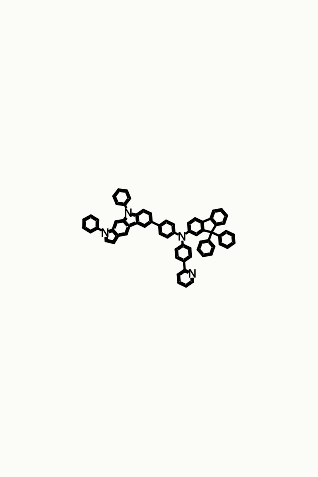 c1ccc(-n2ccc3cc4c5cc(-c6ccc(N(c7ccc(-c8ccccn8)cc7)c7ccc8c(c7)C(c7ccccc7)(c7ccccc7)c7ccccc7-8)cc6)ccc5n(-c5ccccc5)c4cc32)cc1